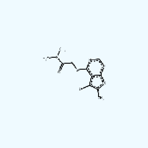 Cc1sc2ncnc(SCC(=O)N(C)C)c2c1Cl